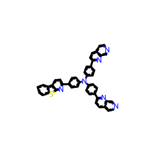 c1ccc2c(c1)sc1nc(-c3ccc(N(c4ccc(-c5ccc6ccncc6n5)cc4)c4ccc(-c5ccc6ccncc6n5)cc4)cc3)ccc12